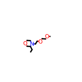 CCC1COCCN1CCOCCOC